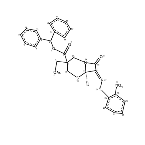 CC(=O)OCC1(C(=O)OC(c2ccccc2)c2ccccc2)CS[C@@H]2C(=NSc3ccccc3[N+](=O)[O-])C(=O)N2C1